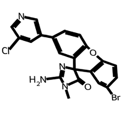 CN1C(=O)C2(N=C1N)c1cc(Br)ccc1Oc1ccc(-c3cncc(Cl)c3)cc12